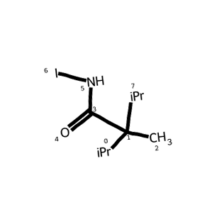 CC(C)C(C)(C(=O)NI)C(C)C